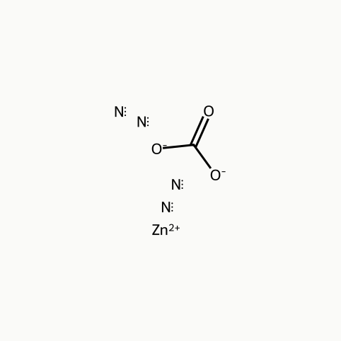 O=C([O-])[O-].[N].[N].[N].[N].[Zn+2]